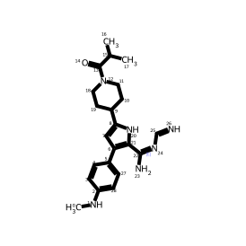 CNc1ccc(-c2cc(C3CCN(C(=O)C(C)C)CC3)[nH]c2/C(N)=N\C=N)cc1